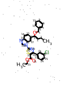 CCC=C(OCc1ccccc1)c1ccc2ncn(-c3nc(-c4cccc(Cl)c4)c(C(=O)OCC)s3)c2c1